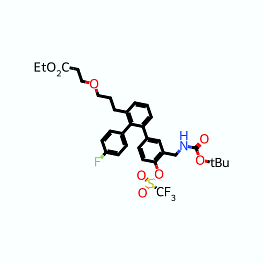 CCOC(=O)CCOCCCc1cccc(-c2ccc(OS(=O)(=O)C(F)(F)F)c(CNC(=O)OC(C)(C)C)c2)c1-c1ccc(F)cc1